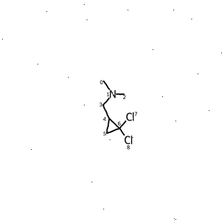 CN(C)CC1CC1(Cl)Cl